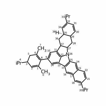 CC1=CC(C(C)C)CC(C)=C1c1cc2c3c(c1)c1cc4cc(C(C)C)ccc4cc1n3C1CC3C=CC(C(C)C)=C[C@@H]3CC21